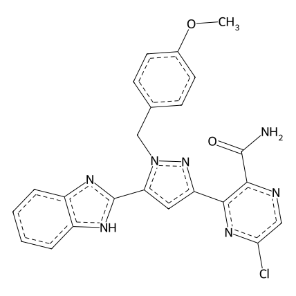 COc1ccc(Cn2nc(-c3nc(Cl)cnc3C(N)=O)cc2-c2nc3ccccc3[nH]2)cc1